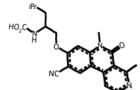 Cc1nccc2c1c(=O)n(C)c1cc(OCC(CC(C)C)NC(=O)O)c(C#N)cc21